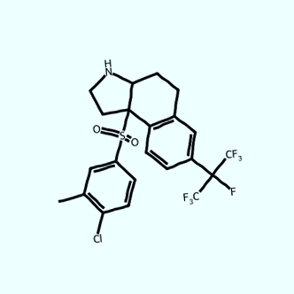 Cc1cc(S(=O)(=O)C23CCNC2CCc2cc(C(F)(C(F)(F)F)C(F)(F)F)ccc23)ccc1Cl